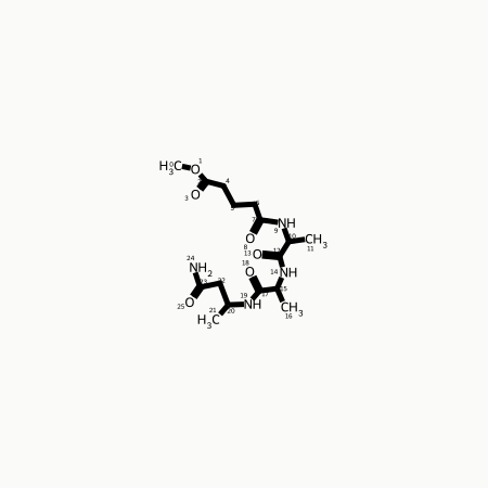 COC(=O)CCCC(=O)NC(C)C(=O)NC(C)C(=O)NC(C)CC(N)=O